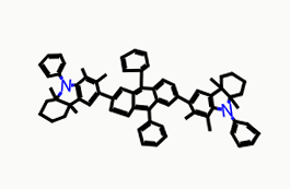 Cc1c(-c2ccc3c(-c4ccccc4)c4cc(-c5cc6c(c(C)c5C)N(c5ccccc5)C5(C)CCCCC65C)ccc4c(-c4ccccc4)c3c2)cc2c(c1C)N(c1ccccc1)C1(C)CCCCC21C